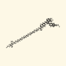 CCCOC(=O)NCCOCCOCCOCCOCCOCCOCCOCCOCCC(=O)N1CCc2cc(Cn3nc(-c4ccc5oc(N)nc5c4)c4c(N)ncnc43)ccc2C1